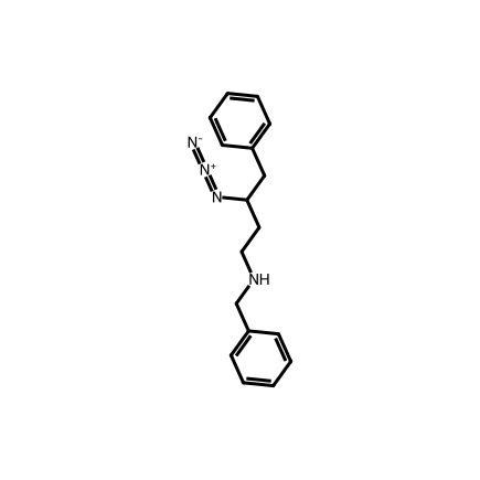 [N-]=[N+]=NC(CCNCc1ccccc1)Cc1ccccc1